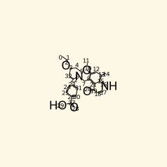 CCO[C@H]1CCN(Cc2c(OC)cc(C)c3[nH]ccc(=O)c23)[C@H](c2ccc(C(=O)O)cc2)C1